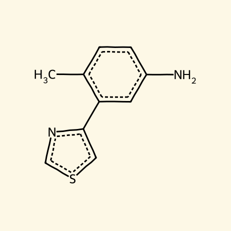 Cc1ccc(N)cc1-c1cscn1